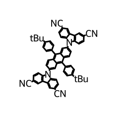 CC(C)(C)c1ccc(-c2c3ccc(-n4c5ccc(C#N)cc5c5cc(C#N)ccc54)cc3c(-c3ccc(C(C)(C)C)cc3)c3ccc(-n4c5ccc(C#N)cc5c5cc(C#N)ccc54)cc23)cc1